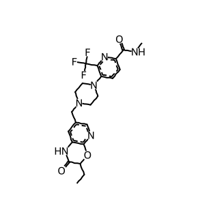 CCC1Oc2ncc(CN3CCN(c4ccc(C(=O)NC)nc4C(F)(F)F)CC3)cc2NC1=O